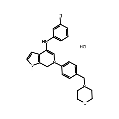 Cl.Clc1cccc(NC2=CN(c3ccc(CN4CCOCC4)cc3)Cc3[nH]ccc32)c1